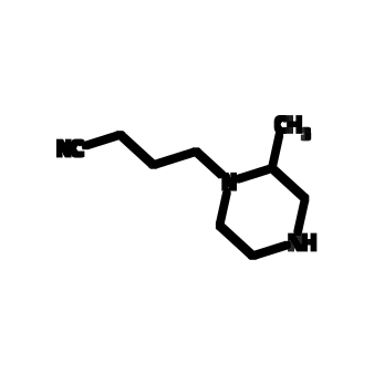 CC1CNCCN1CCCC#N